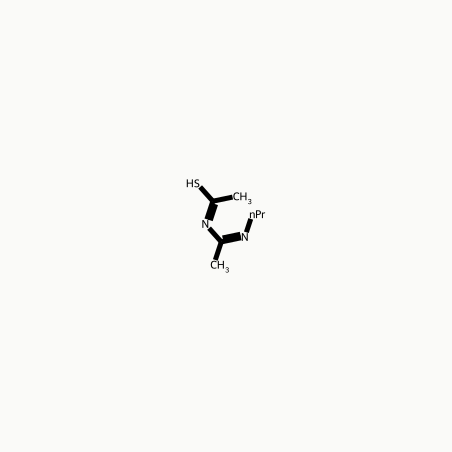 CCC/N=C(C)\N=C(/C)S